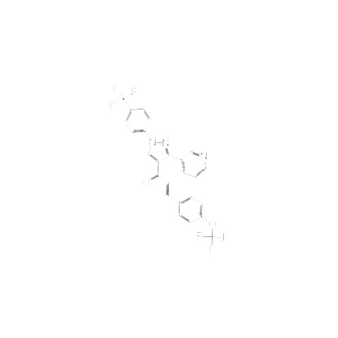 O=C(C=Cc1ccc(OC(F)(F)F)cc1)c1cn(-c2ccc(C(F)(F)F)cc2)nc1-c1cccnc1